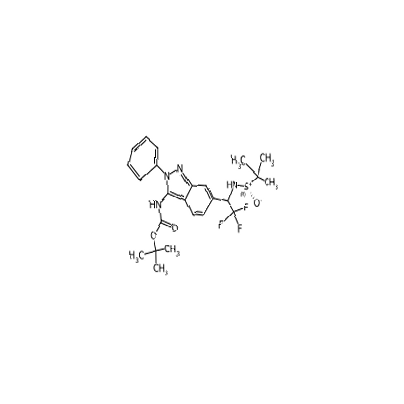 CC(C)(C)OC(=O)Nc1c2ccc(C(N[S@@+]([O-])C(C)(C)C)C(F)(F)F)cc2nn1-c1ccccc1